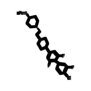 CCCCC[C@H]1CC[C@H](CCC2CCC(c3cc(F)c(-c4ccc(Cl)c(F)c4)c(F)c3)CC2)CC1